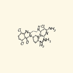 Nc1ccc(-n2c(CCNc3nc(N)nc(N)c3Cl)nc3c(Cl)ccc(Cl)c3c2=O)cn1